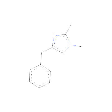 Cc1nc(Cc2ccccc2)cn1C